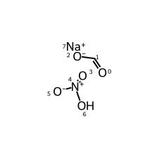 O=C[O-].O=[N+]([O-])O.[Na+]